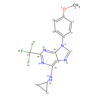 COc1ccc(-n2cnc3c(NC4CC4)nc(C(F)(F)F)nc32)cc1